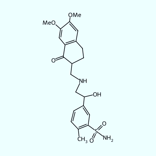 COc1cc2c(cc1OC)C(=O)C(CNCC(O)c1ccc(C)c(S(N)(=O)=O)c1)CC2